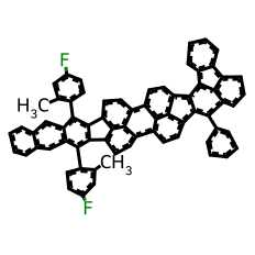 Cc1cc(F)ccc1-c1c2c(c(-c3ccc(F)cc3C)c3cc4ccccc4cc13)-c1ccc3c4ccc5c6c(ccc(c7ccc-2c1c73)c46)c1c(-c2ccccc2)c2cccc3c4ccccc4c(c23)c51